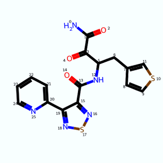 NC(=O)C(=O)C(Cc1ccsc1)NC(=O)c1nsnc1-c1ccccn1